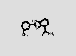 Cc1cccc(-c2nc3c(C(N)=O)cccc3[nH]2)c1